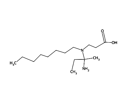 CCCCCCCCN(CCC(=O)O)C(C)(N)CC